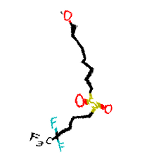 [O]CCCCCCCS(=O)(=O)CCCC(F)(F)C(F)(F)F